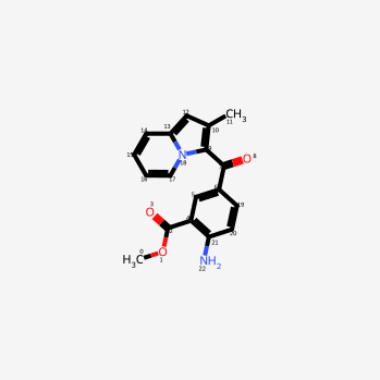 COC(=O)c1cc(C(=O)c2c(C)cc3ccccn23)ccc1N